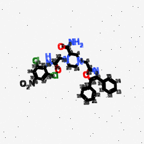 NC(=O)C1CN(Cc2nc(-c3ccccc3)c(-c3ccccc3)o2)CCN1CC(=O)Nc1c(Cl)cc([N+](=O)[O-])cc1Cl